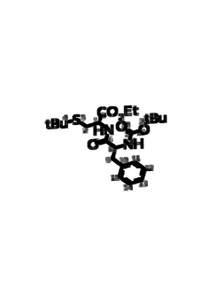 CCOC(=O)[C@H](CSC(C)(C)C)NC(=O)[C@H](Cc1ccccc1)NC(=O)OC(C)(C)C